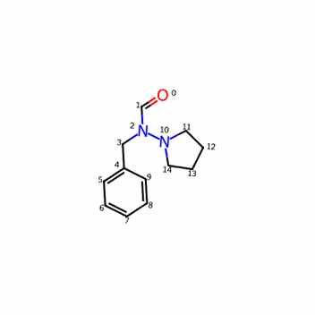 O=CN(Cc1ccccc1)N1CCCC1